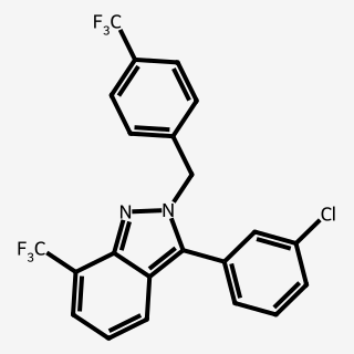 FC(F)(F)c1ccc(Cn2nc3c(C(F)(F)F)cccc3c2-c2cccc(Cl)c2)cc1